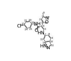 Cc1cc(C(=CNc2ccc3cn[nH]c3c2)C(=O)Nc2ccc(Cl)cc2)on1